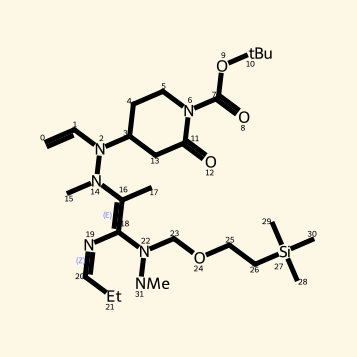 C=CN(C1CCN(C(=O)OC(C)(C)C)C(=O)C1)N(C)/C(C)=C(\N=C/CC)N(COCC[Si](C)(C)C)NC